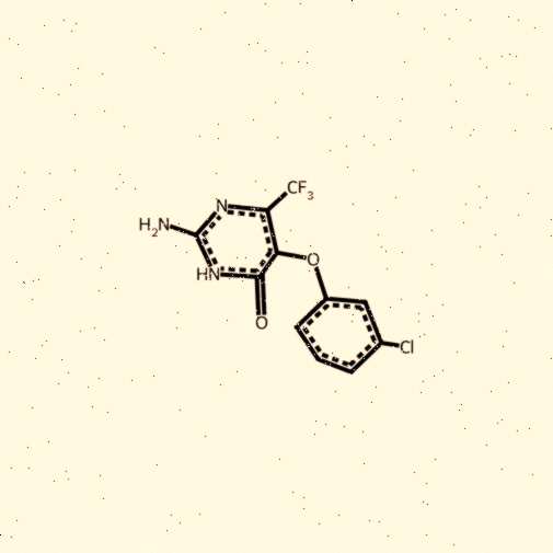 Nc1nc(C(F)(F)F)c(Oc2cccc(Cl)c2)c(=O)[nH]1